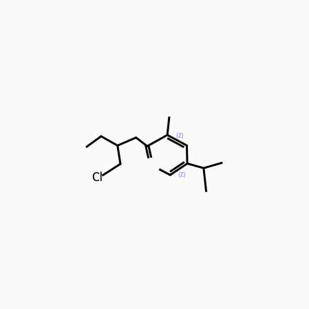 C=C(CC(CC)CCl)/C(C)=C\C(=C/C)C(C)C